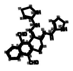 O=Cc1c2c(c(C=O)c3ccccc13)C(=NNC1=NCCN1)C(=NNC1=NCCN1)C=C2